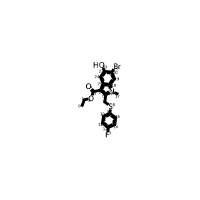 CCOC(=O)c1c(CSc2ccc(F)cc2)n(C)c2cc(Br)c(O)cc12